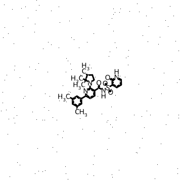 Cc1cc(C)cc(-c2ccc(C(=O)NS(=O)(=O)c3ccc[nH]c3=O)c(N3CCC(C)C3(C)C)n2)c1